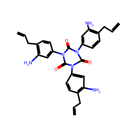 C=CCc1ccc(-n2c(=O)n(-c3ccc(CC=C)c(N)c3)c(=O)n(-c3ccc(CC=C)c(N)c3)c2=O)cc1N